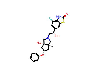 O=c1[nH]c2c(F)cc([C@H](O)CN3C[C@H]4C[C@H](Oc5ccccc5)C[C@@]4(O)C3)cc2s1